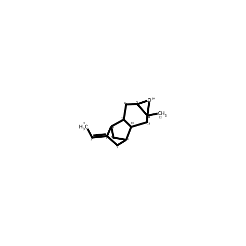 CC=C1CC2CC1C1CC3OC3(C)CC21